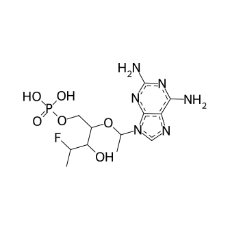 CC(F)C(O)C(COP(=O)(O)O)OC(C)n1cnc2c(N)nc(N)nc21